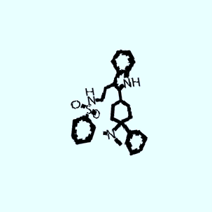 CN(C)C1(c2ccccc2)CCC(c2[nH]c3ccccc3c2CCNS(=O)(=O)c2ccccc2)CC1